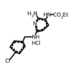 CCOC(=O)Nc1ccc(NCc2ccc(Cl)cc2)nc1N.Cl